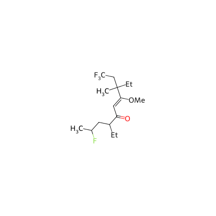 CCC(CC(C)F)C(=O)/C=C(\OC)C(C)(CC)CC(F)(F)F